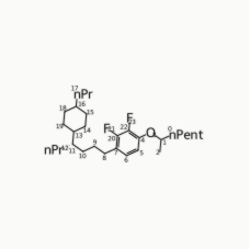 CCCCCC(C)Oc1ccc(CCC[C@H](CCC)C2CCC(CCC)CC2)c(F)c1F